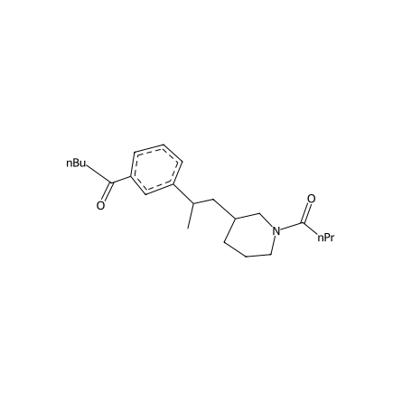 CCCCC(=O)c1cccc(C(C)CC2CCCN(C(=O)CCC)C2)c1